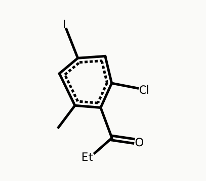 CCC(=O)c1c(C)cc(I)cc1Cl